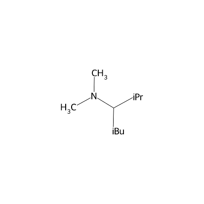 CCC(C)C(C(C)C)N(C)C